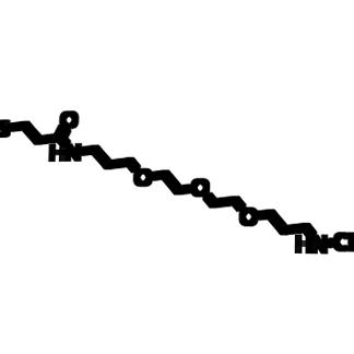 O=CNCCCOCCOCCOCCCNC(=O)CCS